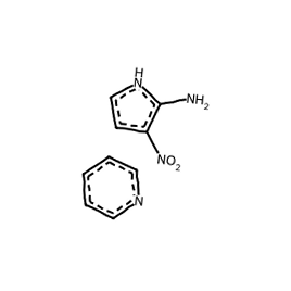 Nc1[nH]ccc1[N+](=O)[O-].c1ccncc1